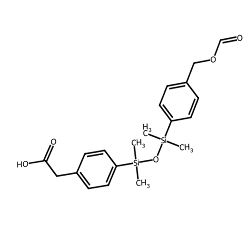 C[Si](C)(O[Si](C)(C)c1ccc(CC(=O)O)cc1)c1ccc(COC=O)cc1